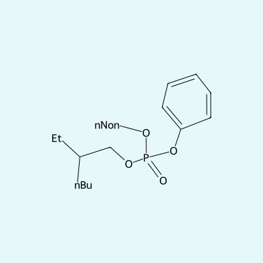 CCCCCCCCCOP(=O)(OCC(CC)CCCC)Oc1ccccc1